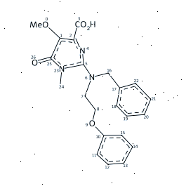 COc1c(C(=O)O)nc(N(CCOc2ccccc2)Cc2ccccc2)n(C)c1=O